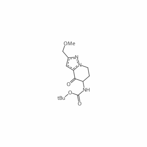 COCc1cc2n(n1)CCC(NC(=O)OC(C)(C)C)C2=O